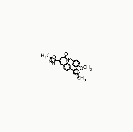 COc1ccc(CN2C(=O)CC(c3nnc(C)o3)=Cc3ccc(-c4cnn(C)c4)cc32)cc1